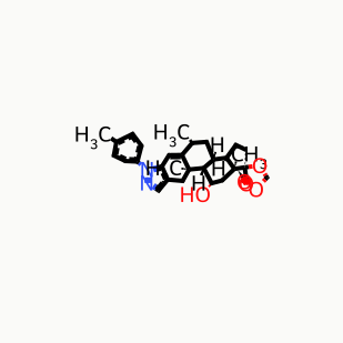 Cc1ccc(-n2ncc3c2C=C2[C@@H](C)C[C@@H]4[C@H]([C@@H](O)C[C@@]5(C)[C@H]4CC[C@@]54OCOC45COCO5)[C@@]2(C)C3)cc1